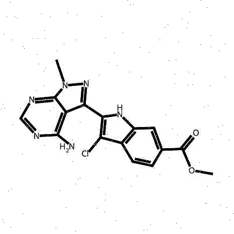 COC(=O)c1ccc2c(Cl)c(-c3nn(C)c4ncnc(N)c34)[nH]c2c1